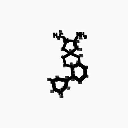 CN1C[C@@]2(CCc3c(cccc3-c3cncnc3)C2)N=C1N